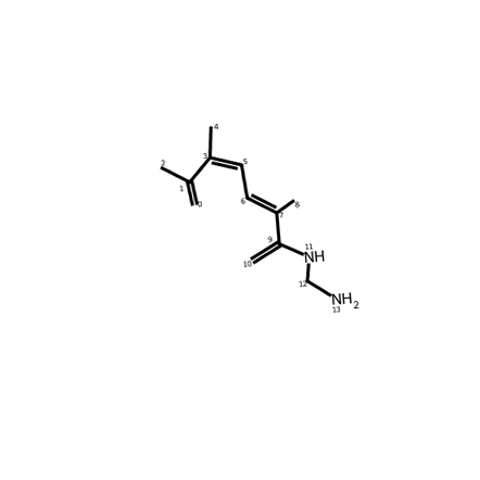 C=C(C)/C(C)=C\C=C(/C)C(=C)NCN